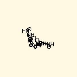 CC(=O)NCCNCc1cc(Cl)c2nc(-c3cccc(-c4cccc(-c5nc6c(Cl)cc(CNCCNC(C)=O)cn6n5)c4C)c3C)nn2c1